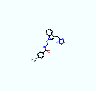 Cc1ccc(C(=O)NCCn2cc(Cc3ncc[nH]3)c3ccccc32)cc1